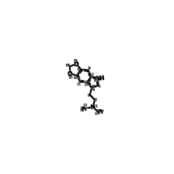 CC(C)N(CCc1c[nH]c2cc3c(cc12)OCO3)C(C)C